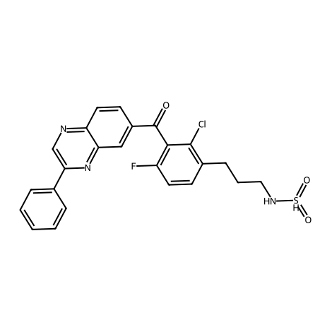 O=C(c1ccc2ncc(-c3ccccc3)nc2c1)c1c(F)ccc(CCCN[SH](=O)=O)c1Cl